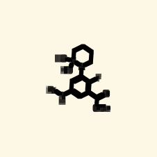 COC(=O)c1cc(NC(C)C)cc(N2CCCCS2(O)O)c1F